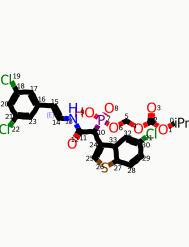 CC(C)OC(=O)OCOP(=O)(O)C(C(=O)N/C=C/c1cc(Cl)cc(Cl)c1)C1=CSC2C=CC(Cl)=CC12